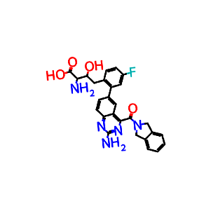 Nc1nc(C(=O)N2Cc3ccccc3C2)c2cc(-c3cc(F)ccc3CC(O)C(N)C(=O)O)ccc2n1